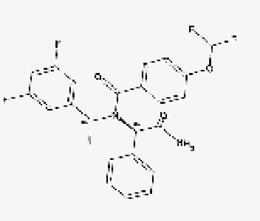 C[C@H](c1cc(F)cc(F)c1)N(C(=O)c1ccc(OC(F)F)cc1)[C@@H](C(N)=O)c1ccccc1